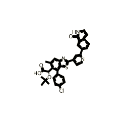 Cc1cc2nc(-c3ccnc(-c4ccc5cc[nH]c(=O)c5c4)c3)sc2c(-c2ccc(Cl)cc2)c1[C@H](OC(C)(C)C)C(=O)O